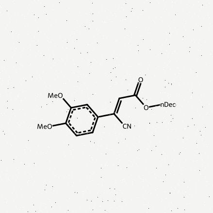 CCCCCCCCCCOC(=O)C=C(C#N)c1ccc(OC)c(OC)c1